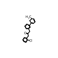 CC1C=CC=C(c2cccc(CC(=O)Cc3ccccc3Cl)c2)C1